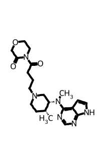 C[C@@H]1CCN(CCCC(=O)N2CCOCC2=O)C[C@@H]1N(C)c1ncnc2[nH]ccc12